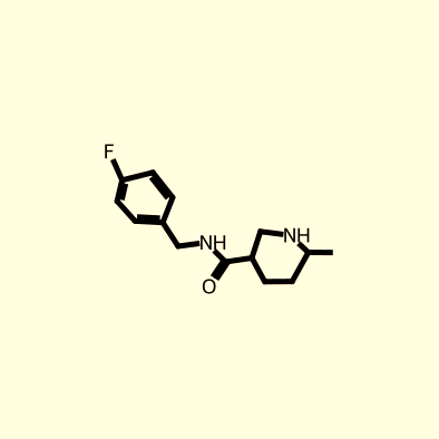 CC1CCC(C(=O)NCc2ccc(F)cc2)CN1